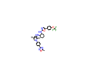 Cc1nc(-c2ccc(N3C[C@@H]4C[C@H](N[C@@H]5CCCC[C@H]5Nc5ncc(-c6ccc(OC(F)(F)F)cc6)o5)[C@H]3C4)cc2)no1